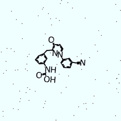 N#Cc1cccc(-n2ccc(=O)c(Cc3cccc(NC(=O)O)c3)n2)c1